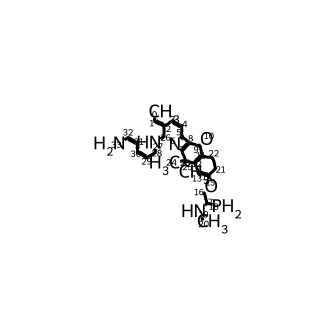 C/C=C(\C=C/C1=NC2=C1C(=O)C1=C(C=C(OCC(P)NC)CC1)C2(C)C)CNC/C=C\C=C/N